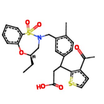 CC[C@@H]1CN(Cc2cc(C(CC(=O)O)c3sccc3C(C)=O)ccc2C)S(=O)(=O)c2ccccc2O1